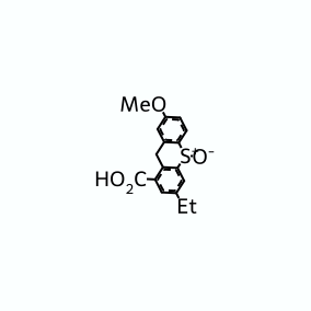 CCc1cc(C(=O)O)c2c(c1)[S+]([O-])c1ccc(OC)cc1C2